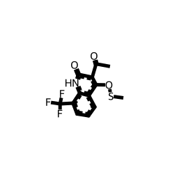 CSOc1c(C(C)=O)c(=O)[nH]c2c(C(F)(F)F)cccc12